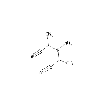 CC(C#N)N(N)C(C)C#N